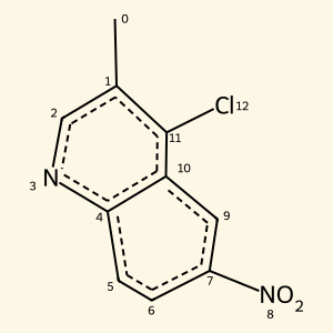 Cc1cnc2ccc([N+](=O)[O-])cc2c1Cl